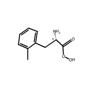 Cc1ccccc1C[C@H](N)C(=O)OO